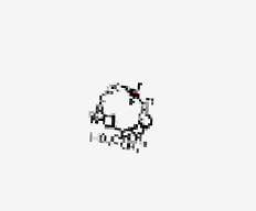 CC(C)(C(=O)O)C1c2ccc3c(c2)CN(CC3)C(=O)c2c(F)cc(cc2F)CCCCCn2nnc3cc1ccc32